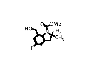 COC(=O)N1c2c(CO)cc(F)cc2CC1(C)C